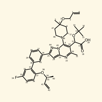 C=CCOC1(C)CCN(c2c(C(OC(C)(C)C)C(=O)O)c(C)nc3cc(-c4cccc(-c5cc(F)ccc5O[C@@H](C)C=C)c4)nn23)CC1